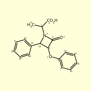 CC(C(=O)O)N1C(=O)C(Oc2ccccc2)C1c1ccccc1